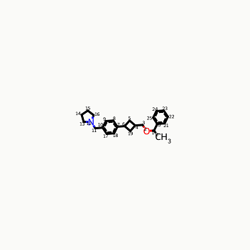 CC(OCC1CC(c2ccc(CN3CCCC3)cc2)C1)c1ccccc1